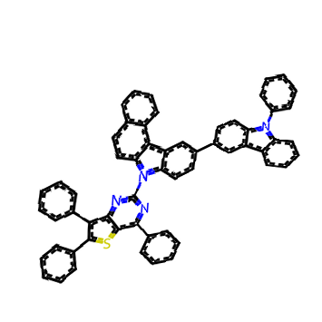 c1ccc(-c2sc3c(-c4ccccc4)nc(-n4c5ccc(-c6ccc7c(c6)c6ccccc6n7-c6ccccc6)cc5c5c6ccccc6ccc54)nc3c2-c2ccccc2)cc1